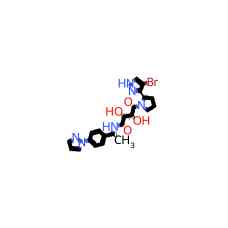 C[C@@H](NC(=O)[C@H](O)[C@@H](O)C(=O)N1CCC[C@@H]1c1n[nH]cc1Br)c1ccc(-n2cccn2)cc1